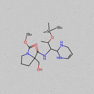 CC(O[Si](C)(C)C(C)(C)C)C(NC(=O)C1(CO)CCCN1C(=O)OC(C)(C)C)C1NC=CCN1